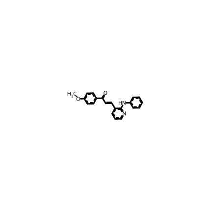 COc1ccc(C(=O)C=Cc2cccnc2Nc2ccccc2)cc1